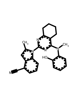 Cc1cc2c(C#N)cccc2n1-c1nc2c(c(N(C)c3ccccc3O)n1)CCCC2